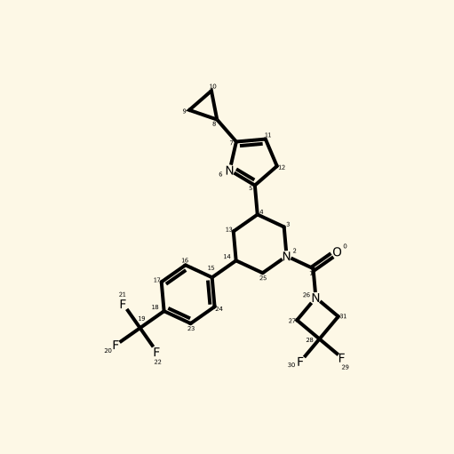 O=C(N1CC(C2=NC(C3CC3)=CC2)CC(c2ccc(C(F)(F)F)cc2)C1)N1CC(F)(F)C1